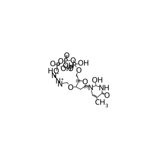 CC1=CN([C@H]2CC(OCN=[N+]=[N-])[C@@H](COP(=O)(O)OP(=O)(O)OP(=O)(O)O)O2)C(O)NC1=O